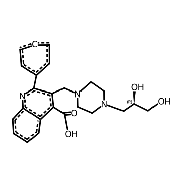 O=C(O)c1c(CN2CCN(C[C@@H](O)CO)CC2)c(-c2ccccc2)nc2ccccc12